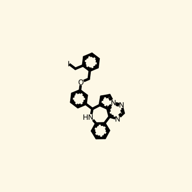 ICc1ccccc1COc1cccc(C2Nc3ccccc3-c3ncnn4ccc2c34)c1